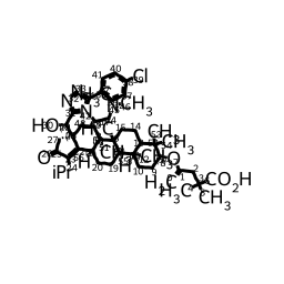 C=C(CC(C)(C)C(=O)O)O[C@H]1CC[C@@]2(C)C(CCC3(C)[C@@H]2CC[C@@H]2C4=C(C(C)C)C(=O)C[C@]4([C@@H](O)c4nnc(-c5ccc(Cl)cc5)n4CCN(C)C)CC[C@]23C)C1(C)C